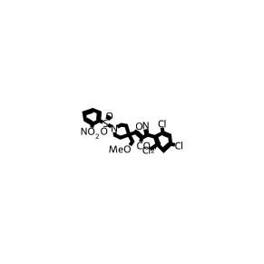 COCC1(c2onc(-c3c(Cl)cc(Cl)cc3Cl)c2C(=O)O)CCN(S(=O)(=O)c2ccccc2[N+](=O)[O-])CC1